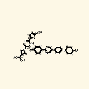 CC[C@H]1CC[C@H](c2ccc(-c3cnc(-c4ccc(C[C@H](NC(=O)c5ccc(C(C)(C)C)s5)C(=O)N5CC(C(O)O)C5)cc4)nc3)cc2)CC1